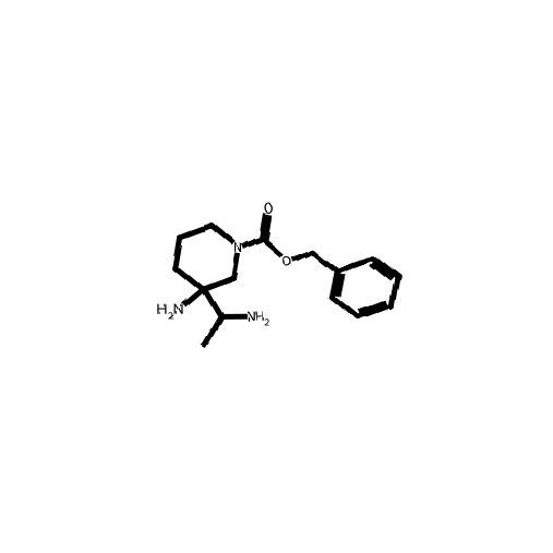 CC(N)C1(N)CCCN(C(=O)OCc2ccccc2)C1